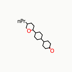 CCCC1CCC(C2CCC(C3CCC(=O)CC3)CC2)OC1